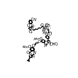 COc1cc2c(cc1OCCCOc1cc(/N=C\[C@H]3CC(c4ccc(NC(=O)[C@@H](C)NC(=O)[C@H](NC(=O)CCCCCN5C(=O)C=C(Oc6ccc(C#N)cc6)C5=O)C(C)C)cc4)=CN3C=O)c(C)cc1OC)N=C[C@H]1CC(C3CC3)=CN1C2=O